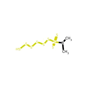 CB(C)S(=S)(=S)SSSSSS